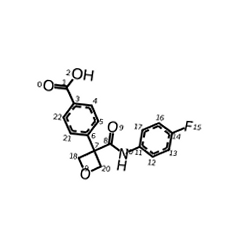 O=C(O)c1ccc(C2(C(=O)Nc3ccc(F)cc3)COC2)cc1